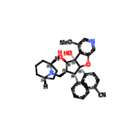 COc1cncc2c1[C@]1(O)[C@H](O)[C@H](CN3[C@@H]4CCC[C@H]3CC4)[C@@H](c3ccccc3)[C@]1(c1ccc(C#N)cc1)O2